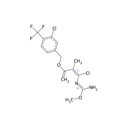 C=C(OCc1ccc(C(F)(F)F)c(Cl)c1)/C(C)=C(Cl)\N=C(/N)OC